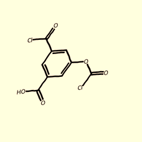 O=C(Cl)Oc1cc(C(=O)O)cc(C(=O)Cl)c1